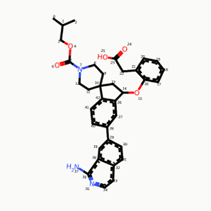 CC(C)COC(=O)N1CCC2(CC1)CC(Oc1ccccc1CC(=O)O)c1cc(-c3ccc4ccnc(N)c4c3)ccc12